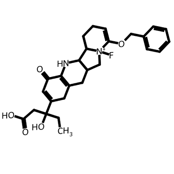 CCC(O)(CC(=O)O)C1=CC(=O)C2=C(C1)CC1C[N+]3(F)C(OCc4ccccc4)=CCCC3C1N2